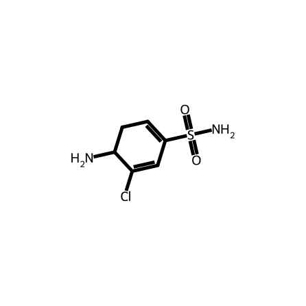 NC1CC=C(S(N)(=O)=O)C=C1Cl